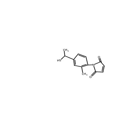 Cc1cc(C(C)S)ccc1N1C(=O)C=CC1=O